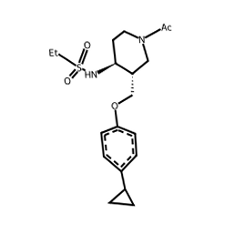 CCS(=O)(=O)N[C@H]1CCN(C(C)=O)C[C@@H]1COc1ccc(C2CC2)cc1